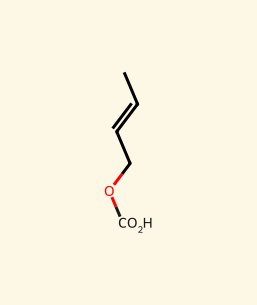 CC=CCOC(=O)O